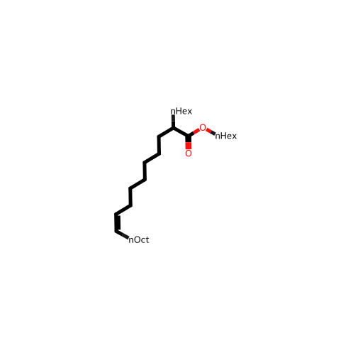 CCCCCCCC/C=C\CCCCCCC(CCCCCC)C(=O)OCCCCCC